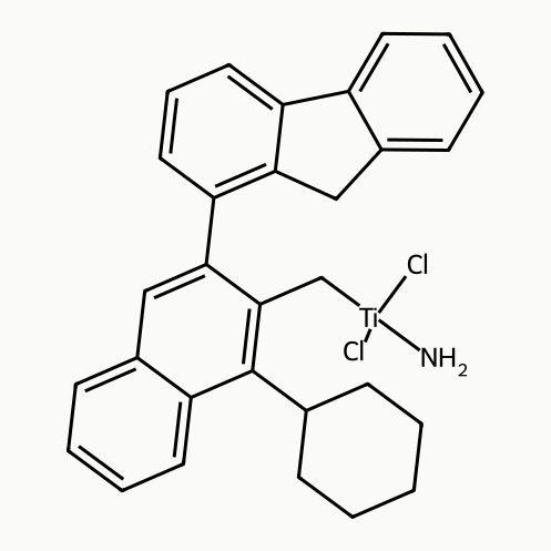 [NH2][Ti]([Cl])([Cl])[CH2]c1c(-c2cccc3c2Cc2ccccc2-3)cc2ccccc2c1C1CCCCC1